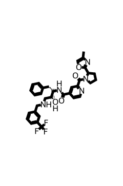 Cc1coc(C2CCCN2C(=O)c2cc(C(=O)N[C@@H](Cc3ccccc3)[C@H](O)CNCc3cccc(C(F)(F)F)c3)ccn2)n1